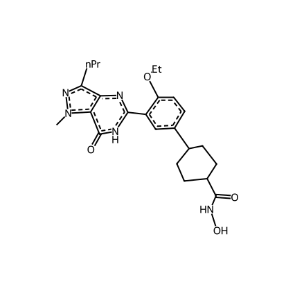 CCCc1nn(C)c2c(=O)[nH]c(-c3cc(C4CCC(C(=O)NO)CC4)ccc3OCC)nc12